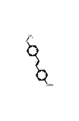 COc1ccc(/C=C/c2ccc(OC(F)(F)F)cc2)cc1